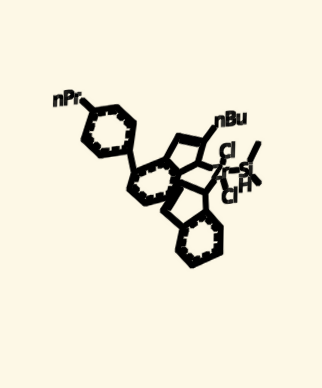 CCCCC1=Cc2c(-c3ccc(CCC)cc3)cccc2[CH]1[Zr]([Cl])([Cl])([CH]1C=Cc2ccccc21)[SiH](C)C